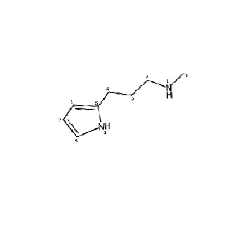 CNCCCc1ccc[nH]1